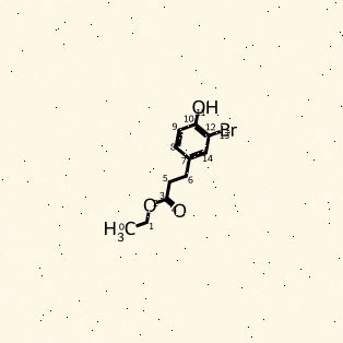 CCOC(=O)CCc1ccc(O)c(Br)c1